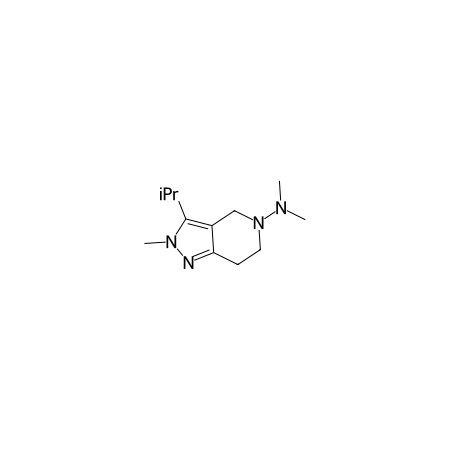 CC(C)c1c2c(nn1C)CCN(N(C)C)C2